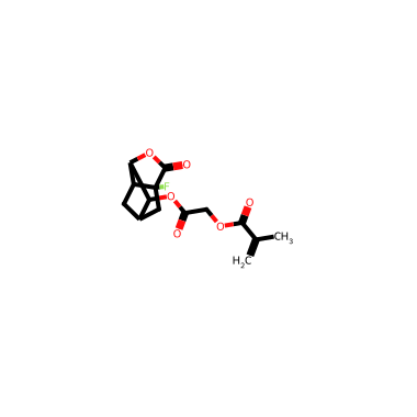 C=C(C)C(=O)OCC(=O)OC1C2CC3C1OC(=O)C3(F)C2